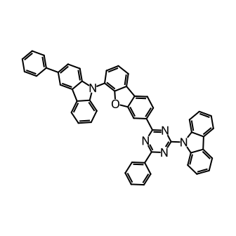 c1ccc(-c2ccc3c(c2)c2ccccc2n3-c2cccc3c2oc2cc(-c4nc(-c5ccccc5)nc(-n5c6ccccc6c6ccccc65)n4)ccc23)cc1